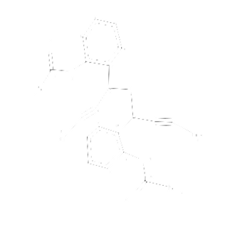 CCCCC#CC(SC(C#CCCCC)c1ccccc1OC(N)=O)c1ccccc1OC(N)=O